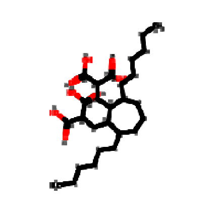 CCCCCCC1CCCC(CCCCCC)C(CC(C(=O)O)C(=O)O)C1CC(C(=O)O)C(=O)O